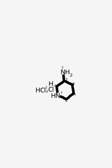 Cl.Cl.NC1CCCNC1